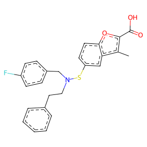 Cc1c(C(=O)O)oc2ccc(SN(CCc3ccccc3)Cc3ccc(F)cc3)cc12